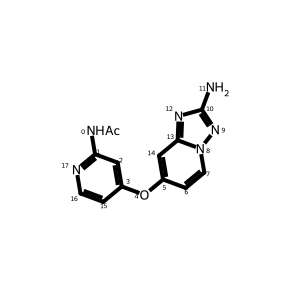 CC(=O)Nc1cc(Oc2ccn3nc(N)nc3c2)ccn1